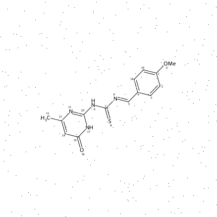 COc1ccc(C=NC(=S)Nc2nc(C)cc(=O)[nH]2)cc1